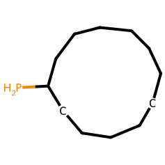 PC1CCCCCCCCCCC1